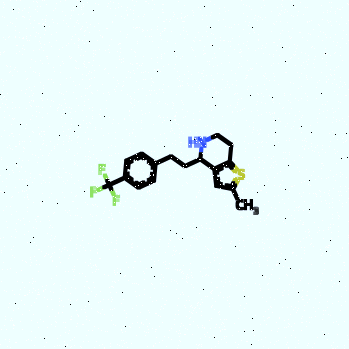 Cc1cc2c(s1)CCNC2CCc1ccc(C(F)(F)F)cc1